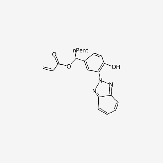 C=CC(=O)OC(CCCCC)c1ccc(O)c(-n2nc3ccccc3n2)c1